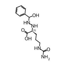 NC(=O)NCCC[C@H](NNC(O)c1ccccc1)C(=O)O